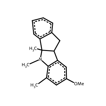 COc1cc(C)c2c(c1)C1Cc3ccccc3C1(C)N2C